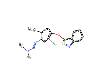 Cc1cc(Oc2snc3ccccc23)c(Cl)cc1N=CN(C)C